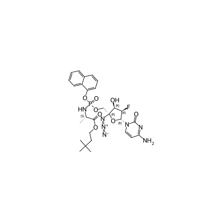 C[C@H](NP(=O)(OC[C@@]1(N=[N+]=[N-])O[C@@H](n2ccc(N)nc2=O)[C@H](F)[C@@H]1O)Oc1cccc2ccccc12)C(=O)OCCC(C)(C)C